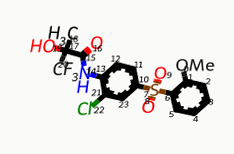 COc1ccccc1S(=O)(=O)c1ccc(NC(=O)C(C)(O)C(F)(F)F)c(Cl)c1